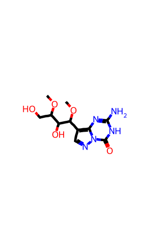 COC(CO)C(O)C(OC)c1cnn2c(=O)[nH]c(N)nc12